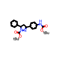 CC(C)(C)OC(=O)Nc1ccc(C2=NN(C(=O)OC(C)(C)C)C(c3ccccc3)C2)cc1